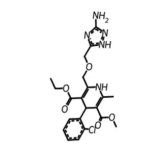 CCOC(=O)C1=C(COCc2nc(N)n[nH]2)NC(C)=C(C(=O)OC)C1c1ccccc1Cl